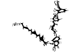 CCCCCCCCCCCCCCCCCCCCCC(=O)OCN1C(=O)CCc2ccc(OCCCCN3CCN(c4cccc(Cl)c4Cl)CC3)cc21